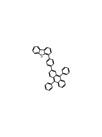 c1ccc(-c2c3ccccc3c(-c3ccccc3)c3cc(-c4ccc(-c5cccc6c5sc5ccccc56)cc4)ccc23)cc1